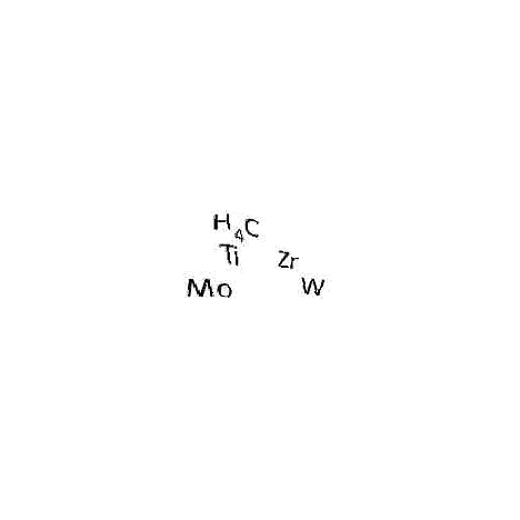 C.[Mo].[Ti].[W].[Zr]